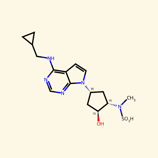 CN([C@H]1C[C@@H](n2ccc3c(NCC4CC4)ncnc32)C[C@@H]1O)S(=O)(=O)O